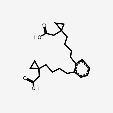 O=C(O)CC1(CCCCc2ccccc2CCCCC2(CC(=O)O)CC2)CC1